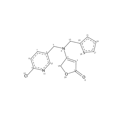 O=C1C=C(N(Cc2ccc(Cl)nc2)Cc2cccs2)CO1